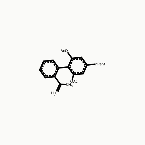 C=C(C)c1ccccc1-c1c(OC(C)=O)cc(CCCCC)cc1OC(C)=O